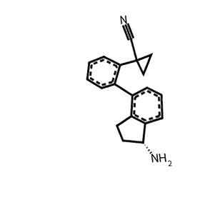 N#CC1(c2ccccc2-c2cccc3c2CC[C@H]3N)CC1